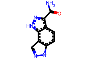 NC(=O)c1n[nH]c2c3c(ccc12)[N]N=C3